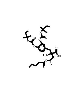 CCCCC(=O)O[C@@H](C)CC(N)(Cc1ccc(OC(=O)OC(C)(C)CC)c(OC(=O)OC(C)(C)CC)c1)C(=O)O